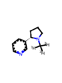 [2H]C([2H])([2H])N1CCC[C@H]1c1cccnc1